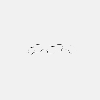 Cn1cc2cc(C3=CCN4C=C(C5=CCNCC5)C=CC4=N3)ccc2n1